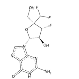 Nc1nc2c(ncn2[C@@H]2O[C@@](CO)(C(F)F)[C@H](F)[C@H]2O)c(=O)[nH]1